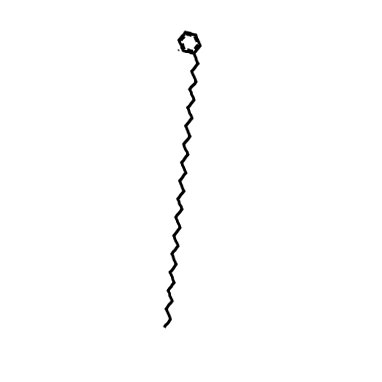 CCCCCCCCCCCCCCCCCCCCCCCCCCCCCCc1[c]cccc1